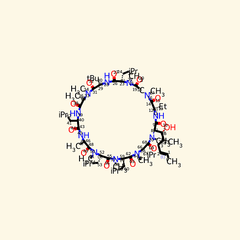 C/C=C/C[C@@H](C)[C@@H](O)[C@H]1C(=O)N[C@@H](CC)C(=O)N(C)CC(=O)N(C)[C@@H](CC(C)C)C(=O)N[C@@H](C(C)(C)C)C(=O)N(C)[C@@H](C)C(=O)NC(CC(C)C)C(=O)N[C@H](C)C(=O)N(C)[C@@H](CC(C)C)C(=O)N(C)[C@H](CC(C)C)C(=O)N(C)[C@@H](C(C)C)C(=O)N1C